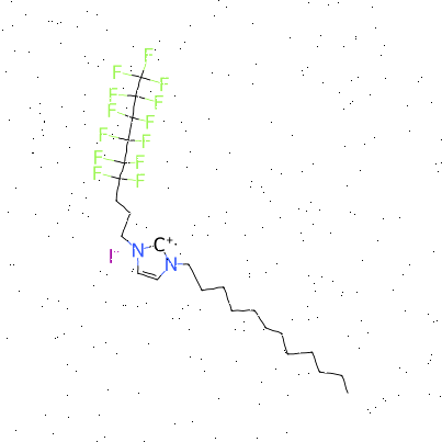 CCCCCCCCCCCCN1[C+]N(CCCC(F)(F)C(F)(F)C(F)(F)C(F)(F)C(F)(F)C(F)(F)F)C=C1.[I-]